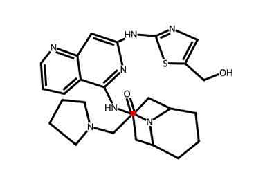 O=C(CN1CCCC1)N1C2CCCC1CC(Nc1nc(Nc3ncc(CO)s3)cc3ncccc13)C2